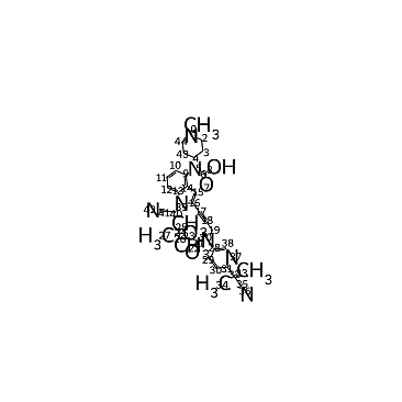 CN1CCC(N(C(=O)O)c2cccc3c2cc(C#CCN(C(=O)OC(C)(C)C)c2ccc(C(C)(C)C#N)nc2)n3CC#N)CC1